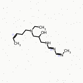 C/C=C\CCN(CC)CC(O)CN/C=N/C=N\C